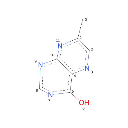 Cc1cnc2c(O)ncnc2n1